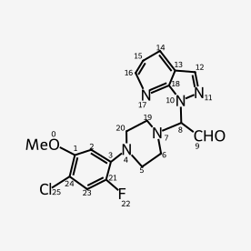 COc1cc(N2CCN(C(C=O)n3ncc4cccnc43)CC2)c(F)cc1Cl